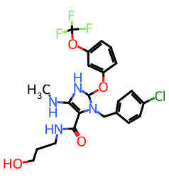 CNC1=C(C(=O)NCCCO)N(Cc2ccc(Cl)cc2)C(Oc2cccc(OC(F)(F)F)c2)N1